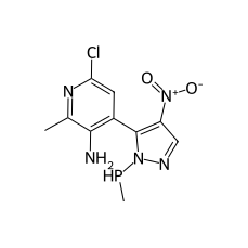 CPn1ncc([N+](=O)[O-])c1-c1cc(Cl)nc(C)c1N